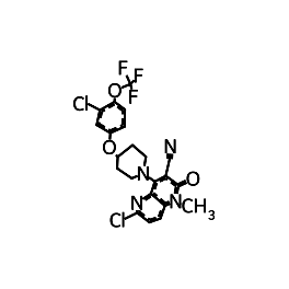 Cn1c(=O)c(C#N)c(N2CCC(Oc3ccc(OC(F)(F)F)c(Cl)c3)CC2)c2nc(Cl)ccc21